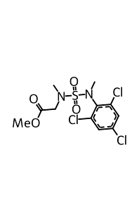 COC(=O)CN(C)S(=O)(=O)N(C)c1c(Cl)cc(Cl)cc1Cl